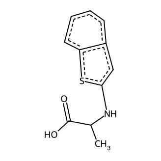 CC(Nc1cc2ccccc2s1)C(=O)O